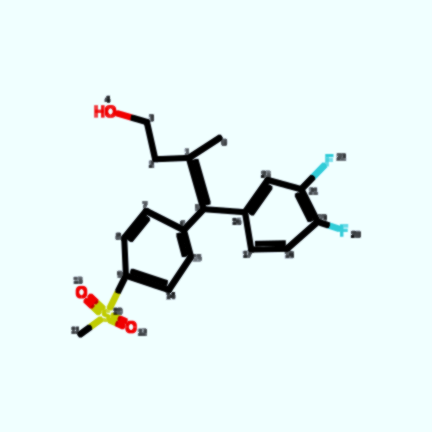 CC(CCO)=C(c1ccc(S(C)(=O)=O)cc1)c1ccc(F)c(F)c1